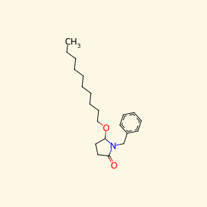 CCCCCCCCCCOC1CCC(=O)N1Cc1ccccc1